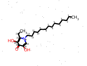 CCCCCCCCCCCCCCn1cc(O)c(=O)c(O)c1CC